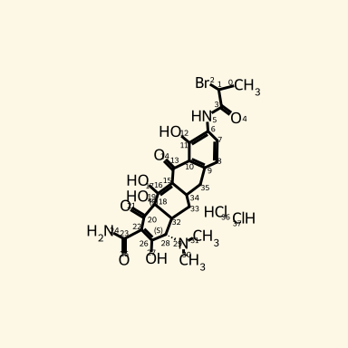 CC(Br)C(=O)Nc1ccc2c(c1O)C(=O)C1=C(O)[C@]3(O)C(=O)C(C(N)=O)=C(O)[C@@H](N(C)C)C3CC1C2.Cl.Cl